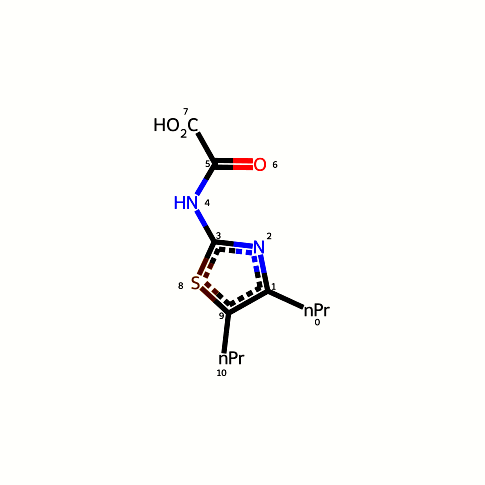 CCCc1nc(NC(=O)C(=O)O)sc1CCC